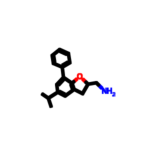 CC(C)c1cc2c(c(-c3ccccc3)c1)OC(CN)C2